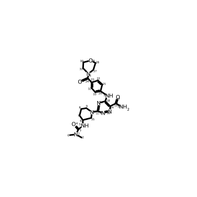 CN(C)C(=O)NC1CCCN(c2nnc(C(N)=O)c(Nc3ccc(C(=O)N4CCOCC4)cc3)n2)C1